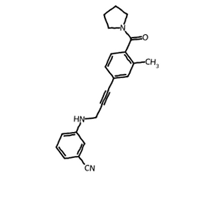 Cc1cc(C#CCNc2cccc(C#N)c2)ccc1C(=O)N1CCCC1